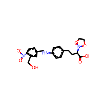 O=C(O)C(CCc1ccc(NCc2ccc([N+](=O)[O-])c(CO)c2)cc1)N1OCCO1